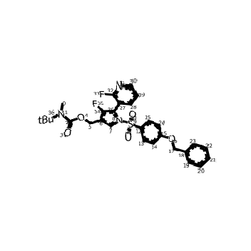 CN(C(=O)OCc1cn(S(=O)(=O)c2ccc(OCc3ccccc3)cc2)c(-c2cccnc2F)c1F)C(C)(C)C